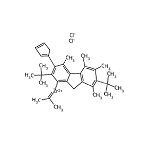 C[C](C)=[Zr+2][c]1c2c(c(C)c(C3=CC=CC3)c1C(C)(C)C)-c1c(C)c(C)c(C(C)(C)C)c(C)c1C2.[Cl-].[Cl-]